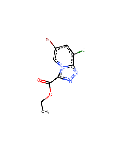 CCOC(=O)c1nnc2c(Cl)cc(Br)cn12